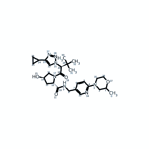 CC1CN(c2ccc(CNC(=O)[C@@H]3C[C@@H](O)CN3C(=O)[C@@H](n3cc(C4CC4)nn3)C(C)(C)C)cn2)CCO1